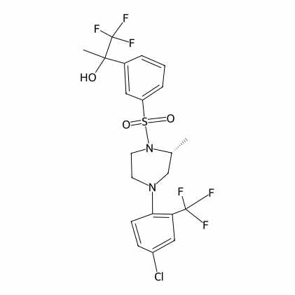 C[C@@H]1CN(c2ccc(Cl)cc2C(F)(F)F)CCN1S(=O)(=O)c1cccc(C(C)(O)C(F)(F)F)c1